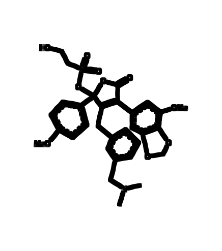 COc1ccc(C2(OS(=O)(=O)CCO)OC(=O)C(c3cc(OC)c4c(c3)OCO4)=C2Cc2cccc(CN(C)C)c2)cc1